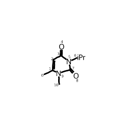 Cc1cc(=O)n(C(C)C)c(=O)n1C